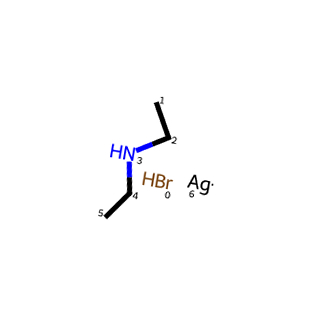 Br.CCNCC.[Ag]